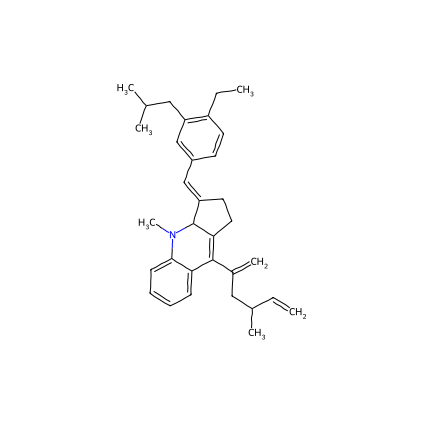 C=CC(C)CC(=C)C1=C2CC/C(=C\c3ccc(CC)c(CC(C)C)c3)C2N(C)c2ccccc21